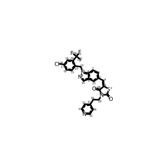 O=C1SC(=Cc2ccc3c(cnn3Cc3ccc(Cl)cc3C(F)(F)F)c2)C(=O)N1CCc1ccncc1